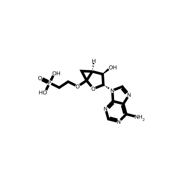 Nc1ncnc2c1ncn2[C@@H]1OC2(OCCP(=O)(O)O)C[C@H]2[C@H]1O